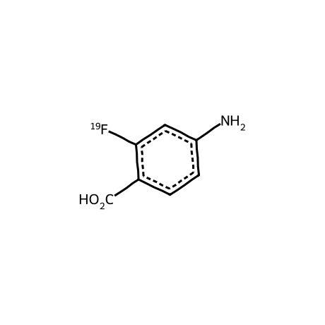 Nc1ccc(C(=O)O)c([19F])c1